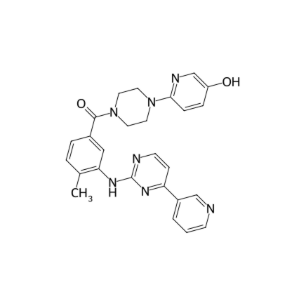 Cc1ccc(C(=O)N2CCN(c3ccc(O)cn3)CC2)cc1Nc1nccc(-c2cccnc2)n1